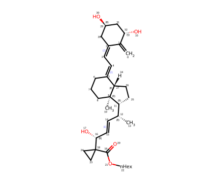 C=C1/C(=C\C=C2/CCC[C@]3(C)[C@@H]([C@H](C)/C=C/[C@@H](O)C4(C(=O)OCCCCCC)CC4)CC[C@@H]23)C[C@@H](O)C[C@@H]1O